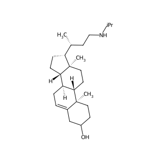 CC(C)NCC[C@@H](C)[C@H]1CC[C@H]2[C@@H]3CC=C4CC(O)CC[C@]4(C)[C@H]3CC[C@]12C